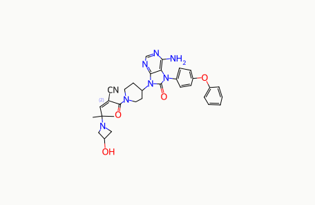 CC(C)(/C=C(/C#N)C(=O)N1CCC(n2c(=O)n(-c3ccc(Oc4ccccc4)cc3)c3c(N)ncnc32)CC1)N1CC(O)C1